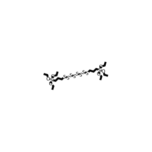 CCO[Si](CCCSSSSSSSSCCC[Si](OCC)(OCC)OCC)(OCC)OCC